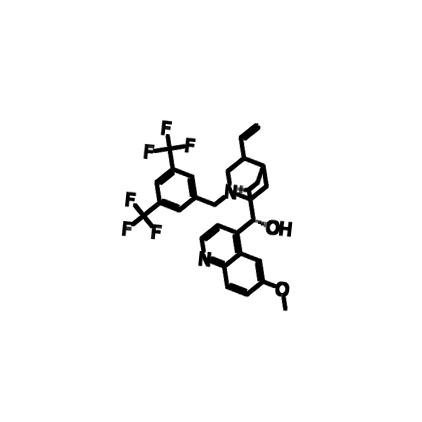 C=CC1C[N+]2(Cc3cc(C(F)(F)F)cc(C(F)(F)F)c3)CCC1CC2[C@H](O)c1ccnc2ccc(OC)cc12